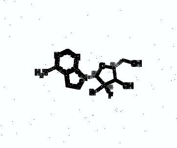 Nc1ncnc2c1ccn2[C@@H]1O[C@H](CO)C(O)[C@]1(F)Br